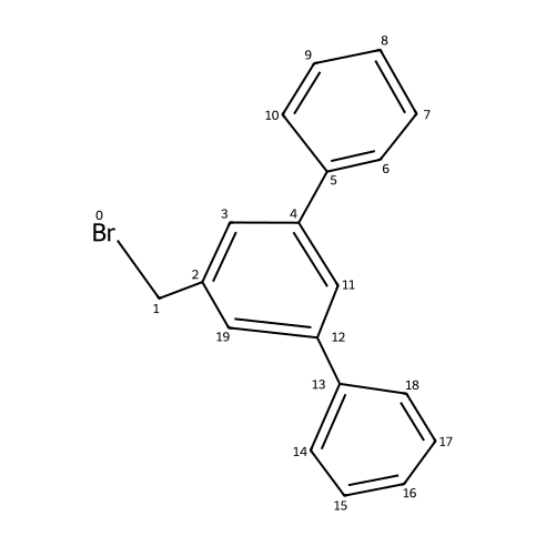 BrCc1cc(-c2ccccc2)cc(-c2ccccc2)c1